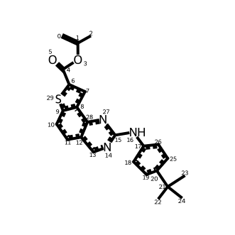 C=C(C)OC(=O)c1cc2c(ccc3cnc(Nc4ccc(C(C)(C)C)cc4)nc32)s1